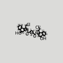 O=C(c1ccc(C(=O)N2CC(CCl)c3c2cc(O)c2ccccc32)s1)N1CC(CCl)c2c1cc(O)c1ccccc21